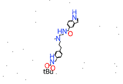 CN(CCCc1ccc(CNC(=O)OC(C)(C)C)cc1)CCNC(=O)c1ccc2[nH]ccc2c1